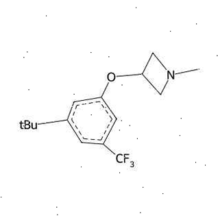 CN1CC(Oc2cc(C(C)(C)C)cc(C(F)(F)F)c2)C1